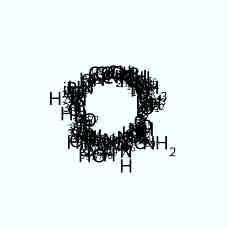 CCCC[C@H]1C(=O)N(C)CC(=O)N[C@@H](CC(=O)O)C(=O)N[C@@H](C(C)C)C(=O)N(C)[C@@H](Cc2ccccc2)C(=O)N[C@H]2Cc3ccc(O)cc3N(CC(=O)N[C@@H](Cc3c[nH]c4ccccc34)C(=O)NC(Cc3ccc(O)cc3)C(=O)N[C@@H](Cc3c[nH]cn3)C(=O)N[C@H](C(=O)NCC(N)=O)CSCC(=O)N[C@@H](Cc3ccccc3)C(=O)N(C)[C@@H](Cc3ccccc3)C(=O)N1C)C2=O